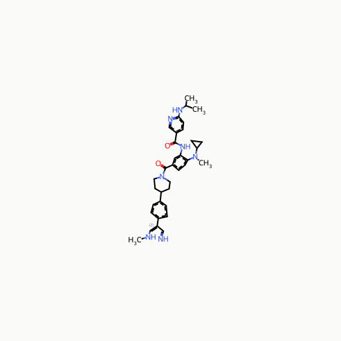 CN/C=C(\C=N)c1ccc(C2CCN(C(=O)c3ccc(N(C)C4CC4)c(NC(=O)c4ccc(NC(C)C)nc4)c3)CC2)cc1